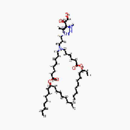 CCCCCCCCC(CC)OC(=O)CCCCCN(CCCCCCCC(=O)OC(CCCCCCCC)CCCCCCCC)CCCN/C(C)=C(\NC)C(=O)C=O